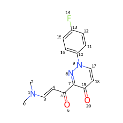 CN(C)C=CC(=O)c1nn(-c2ccc(F)cc2)ccc1=O